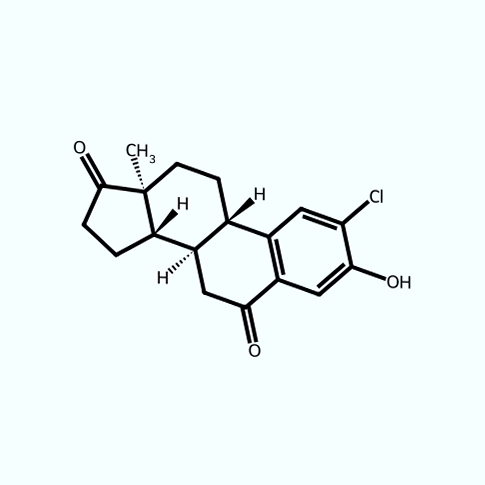 C[C@]12CC[C@@H]3c4cc(Cl)c(O)cc4C(=O)C[C@H]3[C@@H]1CCC2=O